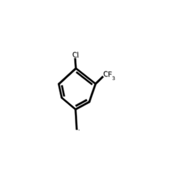 [CH2]c1ccc(Cl)c(C(F)(F)F)c1